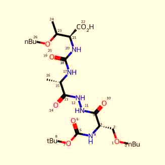 CCCCOC[C@H](NC(=O)OC(C)(C)C)C(=O)NNC(=O)[C@H](C)NC(=O)N[C@H](C(=O)O)C(C)OCCCC